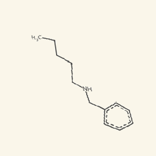 CCCCCNCc1[c]cccc1